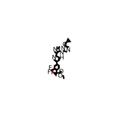 CCOC(=O)C1(c2ccc(-c3ccc(-c4cnn(C)c4Nc4cncc(OC5CC5)n4)nc3)cc2C(F)(F)F)CC1